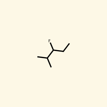 CCC(F)C(C)C